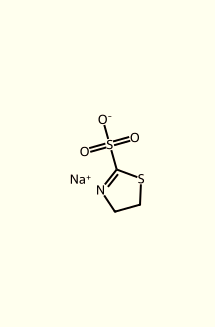 O=S(=O)([O-])C1=NCCS1.[Na+]